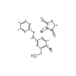 CCc1cc(OCc2ccccc2)ccc1Br.O=C1CCC(=O)N1Br